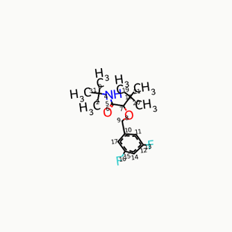 CC(C)(C)NC(=O)C(OCc1cc(F)cc(F)c1)C(C)(C)C